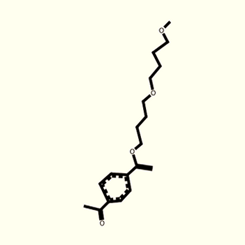 C=C(OCCCCOCCCCOC)c1ccc(C(C)=O)cc1